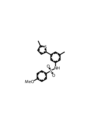 COc1ccc(S(=O)(=O)Nc2cc(C)cc(-c3ccc(C)s3)c2)cc1